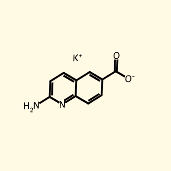 Nc1ccc2cc(C(=O)[O-])ccc2n1.[K+]